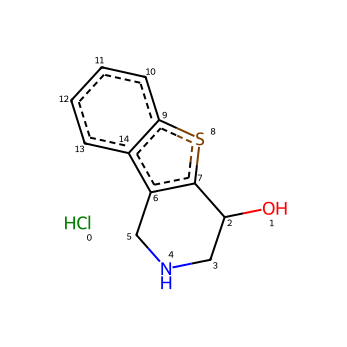 Cl.OC1CNCc2c1sc1ccccc21